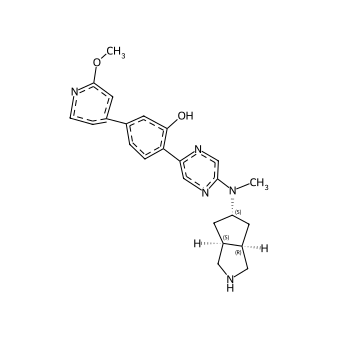 COc1cc(-c2ccc(-c3cnc(N(C)[C@@H]4C[C@H]5CNC[C@H]5C4)cn3)c(O)c2)ccn1